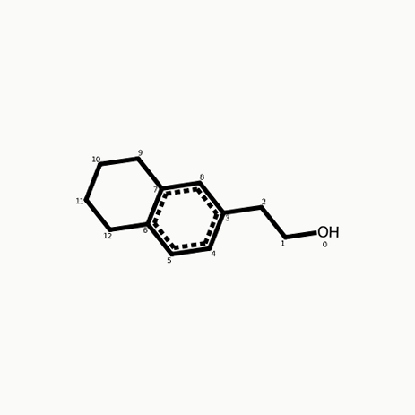 OCCc1ccc2c(c1)CCCC2